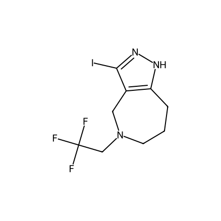 FC(F)(F)CN1CCCc2[nH]nc(I)c2C1